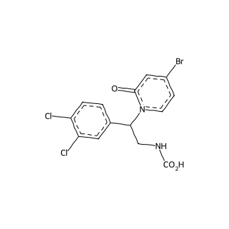 O=C(O)NCC(c1ccc(Cl)c(Cl)c1)n1ccc(Br)cc1=O